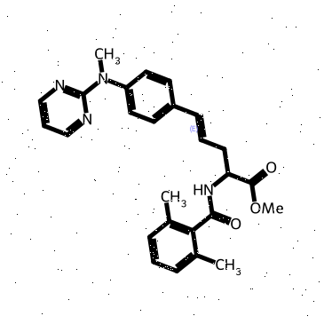 COC(=O)C(C/C=C/c1ccc(N(C)c2ncccn2)cc1)NC(=O)c1c(C)cccc1C